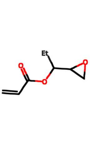 C=CC(=O)OC(CC)C1CO1